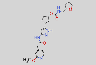 COc1cc(CC(=O)Nc2cc([C@@H]3CC[C@H](OC(=O)NC[C@@H]4CCCO4)C3)[nH]n2)ccn1